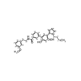 CCCCn1nnnc1-c1cc(-c2cccc(C(=O)NCCc3cccc(OC)c3)c2)c(O)cc1O